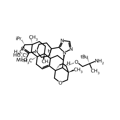 COC(=O)N1CCC(c2ncnn2[C@@H]2C[C@@]34COC[C@](C)([C@@H]3CC[C@H]3C4=CC[C@@]4(C)[C@H](C(=O)O)[C@@](C)([C@H](C)C(C)C)CC[C@]34C)[C@H]2OC[C@](C)(N)C(C)(C)C)CC1